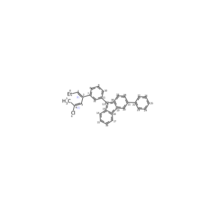 CC/C=C(\C=C(/C)Cl)c1cccc(-n2c3ccccc3c3cc(-c4ccccc4)ccc32)c1